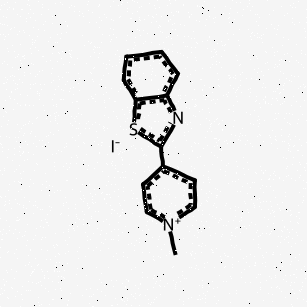 C[n+]1ccc(-c2nc3ccccc3s2)cc1.[I-]